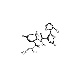 CCN(C)C(=O)c1cc(Cl)cc(C)c1N(C)C(=O)c1cc(Br)nn1-c1ncccc1Cl